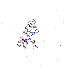 CCc1ccc(CN(C[C@H](O)[C@H](Cc2ccccc2)NC(=O)[C@H](C2CNC(=O)N2Cc2cccc(C)n2)[C@@H](C)CC)NC(=O)C(NC(=O)O)C(C)(C)C)o1